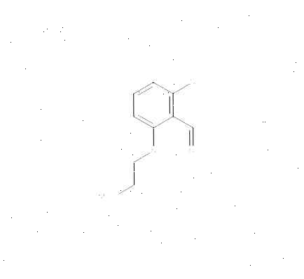 COCCNc1cccc(N)c1C=N